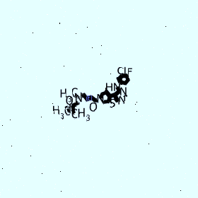 CN(C/C=C/C(=O)N1CCc2c(sc3ncnc(Nc4ccc(F)c(Cl)c4)c23)C1)CC(=O)N(C)C